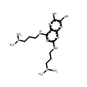 CCCc1nc2nc(NCCCN(C)C)nc(NCCCN(C)C)c2nc1CCC